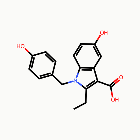 CCc1c(C(=O)O)c2cc(O)ccc2n1Cc1ccc(O)cc1